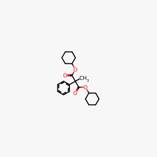 CC(C(=O)OC1CCCCC1)(C(=O)OC1CCCCC1)c1ccccc1